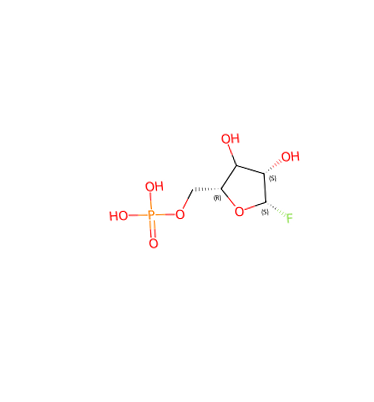 O=P(O)(O)OC[C@H]1O[C@@H](F)[C@@H](O)C1O